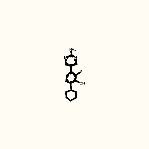 Nc1ncc(-c2ccc(C3CCCCC3)c(O)c2F)cn1